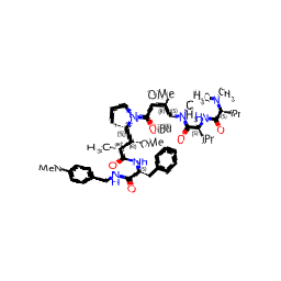 CC[C@H](C)[C@@H]([C@@H](CC(=O)N1CCC[C@H]1[C@H](OC)[C@@H](C)C(=O)N[C@@H](Cc1ccccc1)C(=O)NCc1ccc(NC)cc1)OC)N(C)C(=O)[C@@H](NC(=O)[C@H](C(C)C)N(C)C)C(C)C